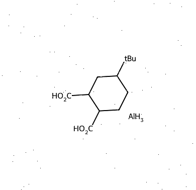 CC(C)(C)C1CCC(C(=O)O)C(C(=O)O)C1.[AlH3]